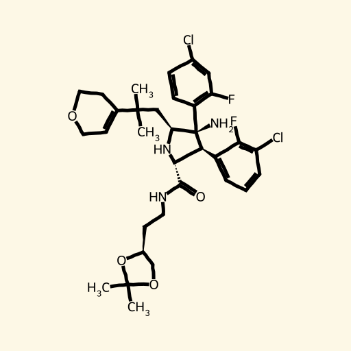 CC1(C)OC[C@H](CCNC(=O)[C@@H]2N[C@@H](CC(C)(C)C3=CCOCC3)[C@](N)(c3ccc(Cl)cc3F)[C@H]2c2cccc(Cl)c2F)O1